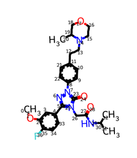 COc1cc(-c2nn(-c3ccc(CCN4CCOCC4C)cc3)c(=O)n2CC(=O)NC(C)C)ccc1F